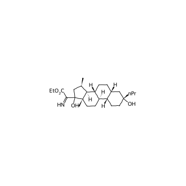 CCC[C@@]1(O)CC[C@H]2[C@H](CC[C@@H]3[C@@H]2CC[C@@]2(C)[C@H]3[C@H](C)CC2(O)C(=N)C(=O)OCC)C1